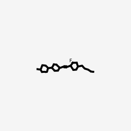 CCCCCC1CCC(C#CC2CCC(C3CCC(C)CC3)CC2)C(F)C1